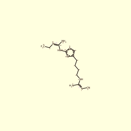 N#C/N=C(/N)NCCCCc1csc(N/C(N)=N\CC(F)(F)F)n1